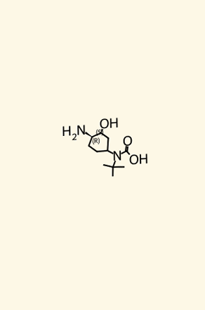 CC(C)(C)N(C(=O)O)C1CC[C@@H](N)[C@@H](O)C1